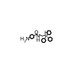 Nc1ccc(C(=O)NCCC[PH](c2ccccc2)(c2ccccc2)c2ccccc2)cc1